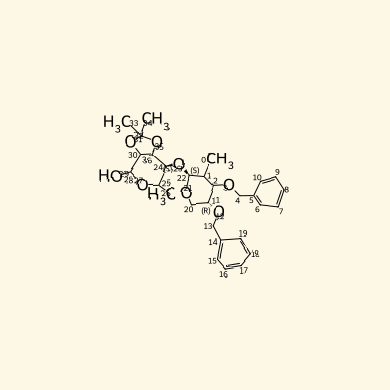 CC1C(OCc2ccccc2)[C@H](OCc2ccccc2)CO[C@H]1O[C@H]1C(C)OC(O)C2OC(C)(C)OC21